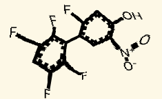 O=[N+]([O-])c1cc(-c2c(F)c(F)cc(F)c2F)c(F)cc1O